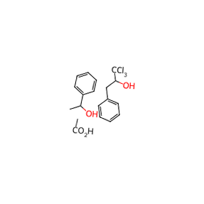 CC(=O)O.CC(O)c1ccccc1.OC(Cc1ccccc1)C(Cl)(Cl)Cl